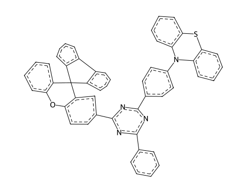 c1ccc(-c2nc(-c3ccc(N4c5ccccc5Sc5ccccc54)cc3)nc(-c3ccc4c(c3)C3(c5ccccc5O4)c4ccccc4-c4ccccc43)n2)cc1